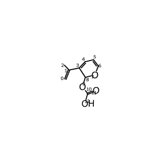 C=C(C)C1=CC=COC1OC(=O)O